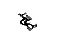 O=C(O)Cc1c(Cl)ccc([N+](=O)[O-])c1Cl